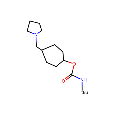 CC(C)(C)NC(=O)OC1CCC(CN2CCCC2)CC1